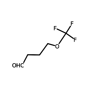 O=CCCCOC(F)(F)F